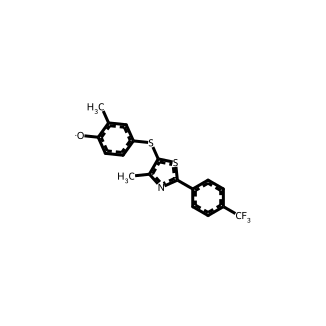 Cc1cc(Sc2sc(-c3ccc(C(F)(F)F)cc3)nc2C)ccc1[O]